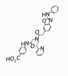 O=C(CN(CCc1ccccn1)C(=O)Cc1ccc2nc(Nc3ccccc3)oc2c1)Nc1ccc(C(=O)O)cc1